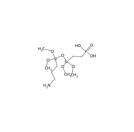 CO[Si](CCCN)(OC)O[Si](CCP(=O)(O)O)(OC)OC